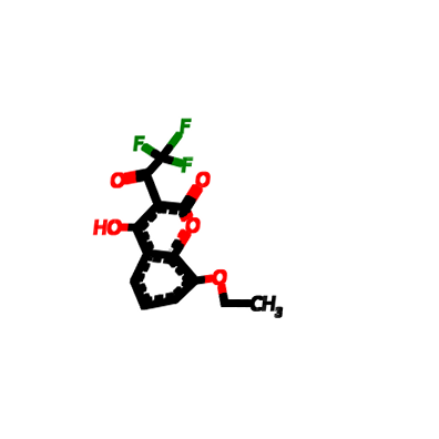 CCOc1cccc2c(O)c(C(=O)C(F)(F)F)c(=O)oc12